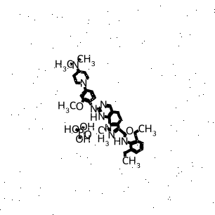 CCc1cccc(CC)c1NC(=O)c1nn(C)c2c1CCc1cnc(Nc3ccc(N4CCC(N(C)C)CC4)cc3OC)nc1-2.O=P(O)(O)O